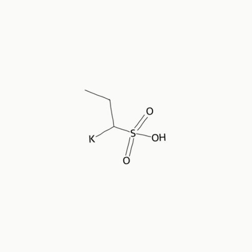 CC[CH]([K])S(=O)(=O)O